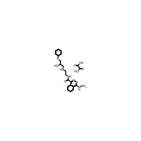 NNc1nnc(C(=O)NCCNCC(O)COc2ccccc2)c2ccccc12.O=C(O)C(=O)O